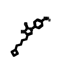 Nc1ccc(-n2cc(CCCCC3CCC3)[nH]c2=O)cc1